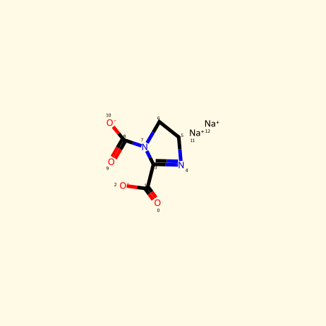 O=C([O-])C1=NCCN1C(=O)[O-].[Na+].[Na+]